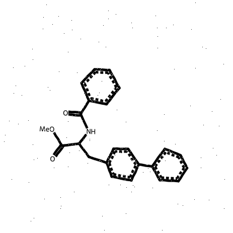 COC(=O)C(Cc1ccc(-c2ccccc2)cc1)NC(=O)c1ccccc1